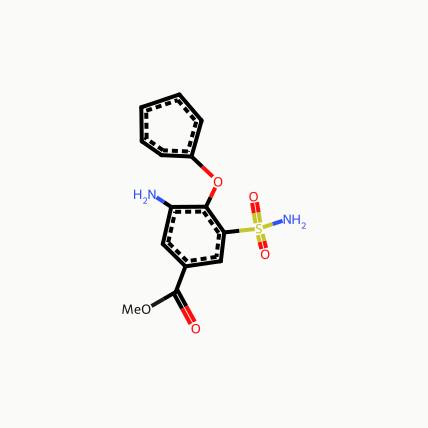 COC(=O)c1cc(N)c(Oc2ccccc2)c(S(N)(=O)=O)c1